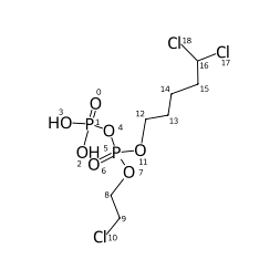 O=P(O)(O)OP(=O)(OCCCl)OCCCCC(Cl)Cl